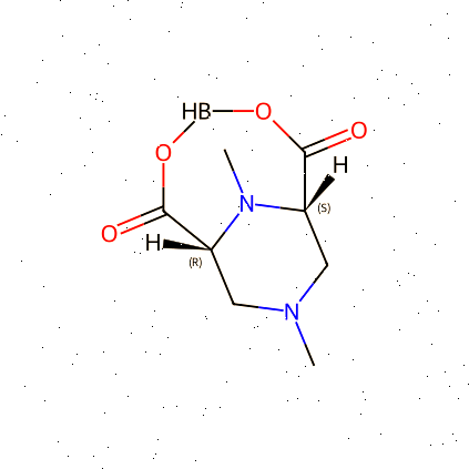 CN1C[C@@H]2C(=O)OBOC(=O)[C@H](C1)N2C